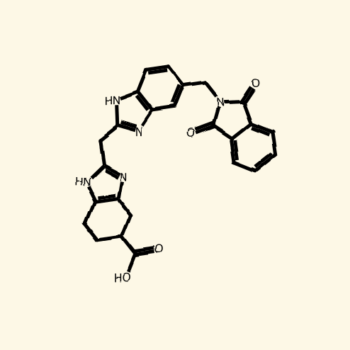 O=C(O)C1CCc2[nH]c(Cc3nc4cc(CN5C(=O)c6ccccc6C5=O)ccc4[nH]3)nc2C1